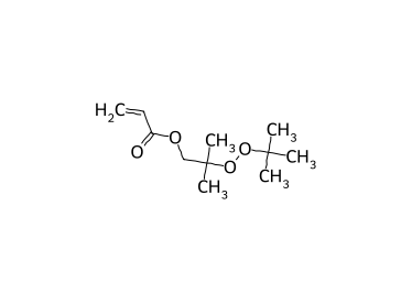 C=CC(=O)OCC(C)(C)OOC(C)(C)C